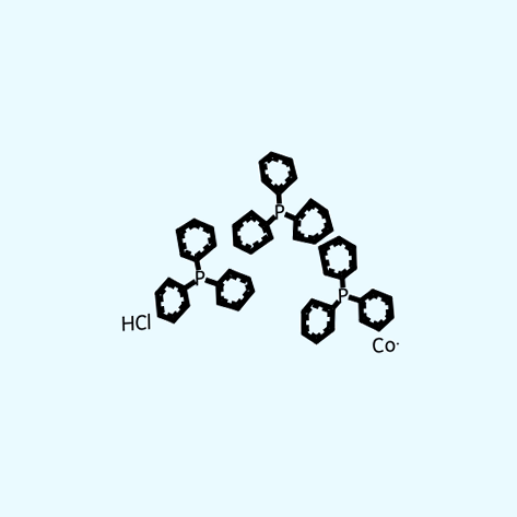 Cl.[Co].c1ccc(P(c2ccccc2)c2ccccc2)cc1.c1ccc(P(c2ccccc2)c2ccccc2)cc1.c1ccc(P(c2ccccc2)c2ccccc2)cc1